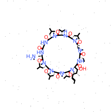 C/C=C/C[C@@H](C)[C@@H](O)[C@H]1C(=O)N[C@@H](CC)C(=O)N(C)CC(=O)N(C)[C@@H](CC(C)C)C(=O)N[C@@H](C(C)C)C(=O)N(C)[C@@H](CC(C)C)C(=O)N[C@@H](C)C(=O)N[C@H](C)C(=O)N(C)[C@@H](CC(C)C)C(=O)N(C)[C@@H](CC(C)C)C(=O)N(C)[C@@H](C(C)C)C(=O)N1C.CN